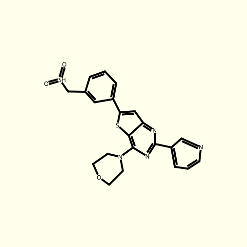 O=[SH](=O)Cc1cccc(-c2cc3nc(-c4cccnc4)nc(N4CCOCC4)c3s2)c1